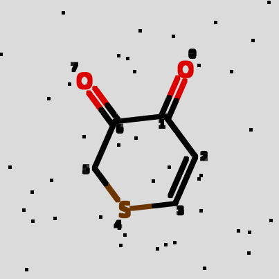 O=C1C=CSCC1=O